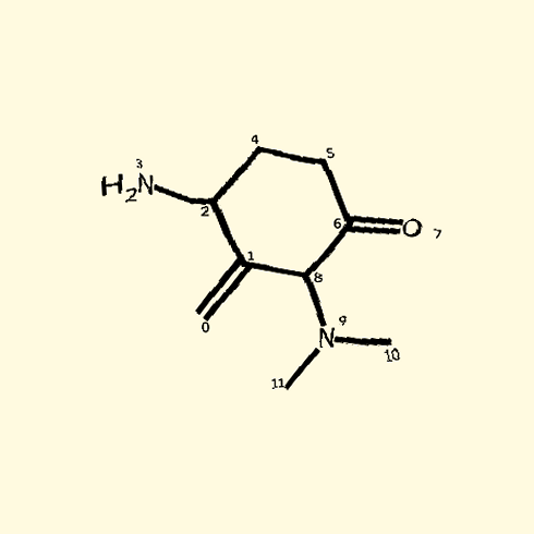 C=C1C(N)CCC(=O)C1N(C)C